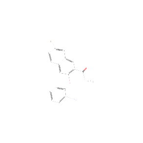 COC(=O)c1cc2cc(Br)ccc2cc1Oc1ccccc1N